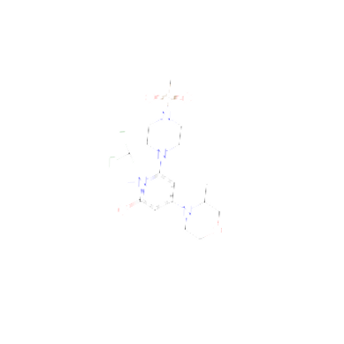 CC1COCCN1c1cc(N2CCN(S(C)(=O)=O)C[C@H]2C(F)(F)F)[nH]c(=O)c1